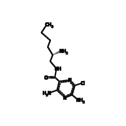 CCCC[C@H](N)CNC(=O)c1nc(Cl)c(N)nc1N